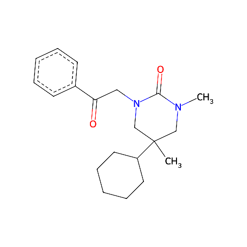 CN1CC(C)(C2CCCCC2)CN(CC(=O)c2ccccc2)C1=O